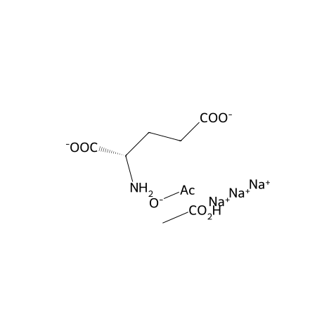 CC(=O)O.CC(=O)[O-].N[C@@H](CCC(=O)[O-])C(=O)[O-].[Na+].[Na+].[Na+]